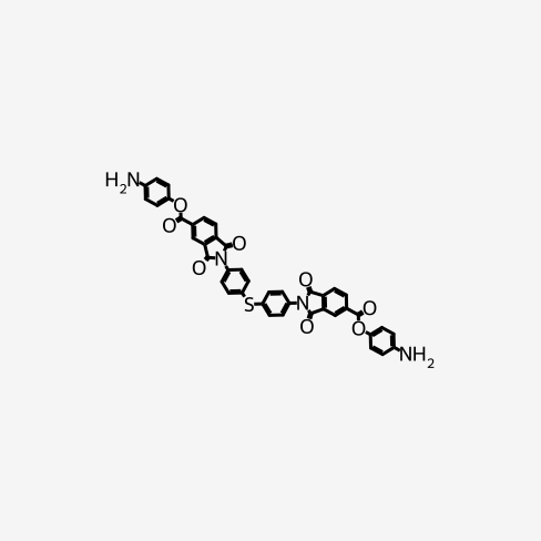 Nc1ccc(OC(=O)c2ccc3c(c2)C(=O)N(c2ccc(Sc4ccc(N5C(=O)c6ccc(C(=O)Oc7ccc(N)cc7)cc6C5=O)cc4)cc2)C3=O)cc1